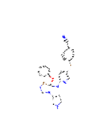 N#Cc1ccc(Sc2ccc(NC3(Oc4ccccc4)SN=CN3C3CCNC3)nc2)cc1